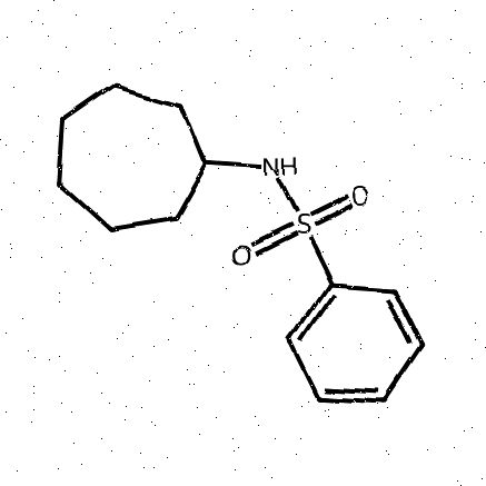 O=S(=O)(NC1CCCCCC1)c1ccccc1